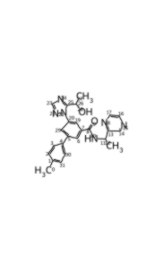 Cc1ccc(-c2cc(C(=O)NC(C)c3cnccn3)cc(-n3ncnc3C(C)O)c2)cc1